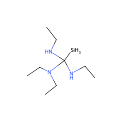 CCNC([SiH3])(NCC)N(CC)CC